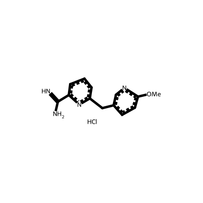 COc1ccc(Cc2cccc(C(=N)N)n2)cn1.Cl